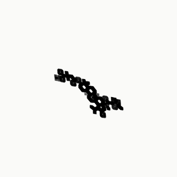 Cc1nnc(C(=O)N(C)[C@@]23CC[C@]4(C)C(CCC5[C@@]6(C)CC[C@H](OC(=O)CC(C)(C)C(=O)O)C(C)(C)C6CC[C@]54C)C2=C(C(C)C)C(=O)C3)o1